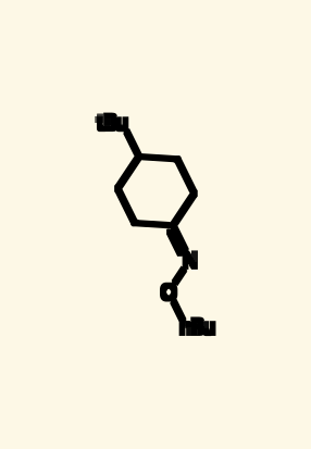 CCCCON=C1CCC(C(C)(C)C)CC1